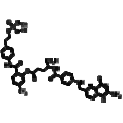 CCOP(=O)(OCC)OCCc1ccc(NC(=O)c2ccc(C(F)(F)F)cc2OC(=O)CC[C@H](NC(=O)c2ccc(NCc3cnc4[nH]c(N)nc(=O)c4n3)cc2)C(=O)O)cc1